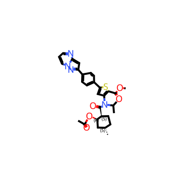 COC(=O)c1sc(-c2ccc(-c3cc4ncccn4n3)cc2)cc1N(C(=O)[C@H]1CC[C@H](C)C[C@H]1OC(C)=O)C(C)C